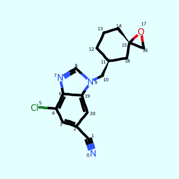 N#Cc1cc(Cl)c2ncn(C[C@H]3CCC[C@@]4(CO4)C3)c2c1